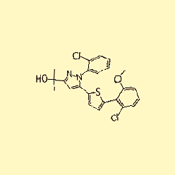 COc1cccc(Cl)c1-c1ccc(-c2cc(C(C)(C)O)nn2-c2ccccc2Cl)s1